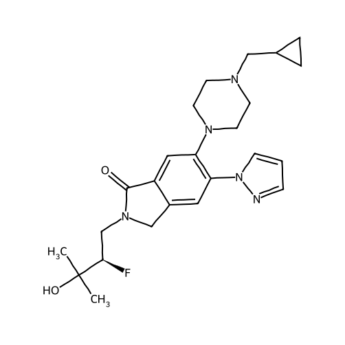 CC(C)(O)[C@H](F)CN1Cc2cc(-n3cccn3)c(N3CCN(CC4CC4)CC3)cc2C1=O